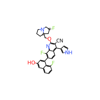 N#Cc1c(OC[C@@]23CCCN2C[C@H](F)C3)nc2c(F)c(-c3cc(O)cc4cccc(F)c34)ccc2c1-c1cc[nH]c1